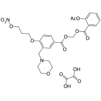 CC(=O)Oc1ccccc1C(=O)OCOC(=O)c1ccc(OCCCO[N+](=O)[O-])c(CN2CCOCC2)c1.O=C(O)C(=O)O